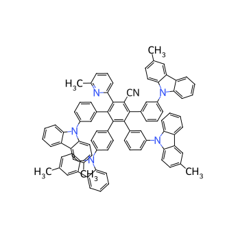 Cc1ccc2c(c1)c1ccccc1n2-c1ccc(-c2c(-c3cccc(-n4c5ccccc5c5cc(C)ccc54)c3)c(-c3cccc(-n4c5ccccc5c5cc(C)ccc54)c3)c(C#N)c(-c3cccc(C)n3)c2-c2cccc(-n3c4ccccc4c4cc(C)ccc43)c2)cc1